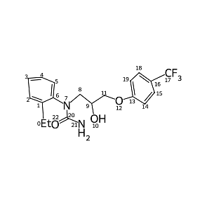 CCc1ccccc1N(CC(O)COc1ccc(C(F)(F)F)cc1)C(N)=O